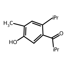 Cc1cc(C(C)C)c(C(=O)C(C)C)cc1O